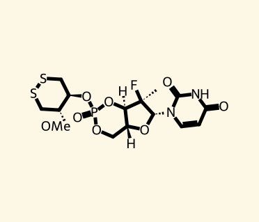 CO[C@@H]1CSSC[C@H]1OP1(=O)OC[C@H]2O[C@@H](n3ccc(=O)[nH]c3=O)[C@](C)(F)[C@@H]2O1